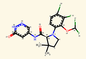 CC1(C)CCN(c2ccc(F)c(F)c2OC(F)F)[C@@H]1C(=O)Nc1cn[nH]c(=O)c1